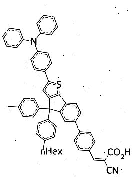 CCCCCCc1ccc(C2(c3ccc(C)cc3)c3cc(-c4ccc(/C=C(/C#N)C(=O)O)cc4)ccc3-c3sc(-c4ccc(N(c5ccccc5)c5ccccc5)cc4)cc32)cc1